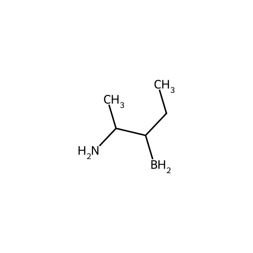 BC(CC)C(C)N